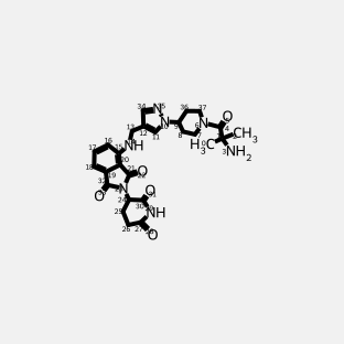 CC(C)(N)C(=O)N1CCC(n2cc(CNc3cccc4c3C(=O)N(C3CCC(=O)NC3=O)C4=O)cn2)CC1